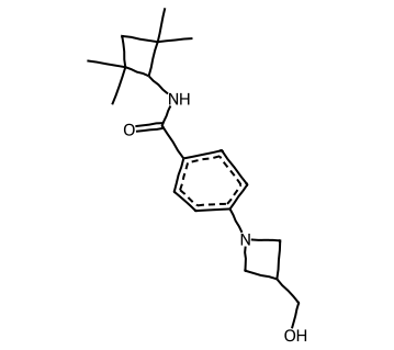 CC1(C)CC(C)(C)C1NC(=O)c1ccc(N2CC(CO)C2)cc1